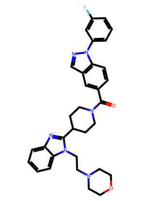 O=C(c1ccc2c(cnn2-c2cccc(F)c2)c1)N1CCC(c2nc3ccccc3n2CCN2CCOCC2)CC1